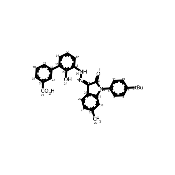 CC(C)(C)c1ccc(N2C(=O)C(=NNc3cccc(-c4cccc(C(=O)O)c4)c3O)c3ccc(C(F)(F)F)cc32)cc1